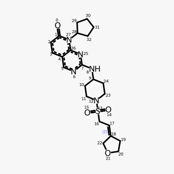 O=c1ccc2cnc(NC3CCN(S(=O)(=O)C/C=C4/CCOC4)CC3)nc2n1C1CCCC1